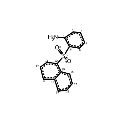 Nc1ccccc1S(=O)(=O)c1cccc2ccccc12